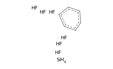 F.F.F.F.F.F.[SiH4].c1ccccc1